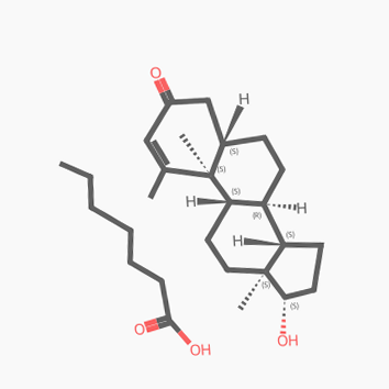 CC1=CC(=O)C[C@@H]2CC[C@H]3[C@@H]4CC[C@H](O)[C@@]4(C)CC[C@@H]3[C@@]12C.CCCCCCC(=O)O